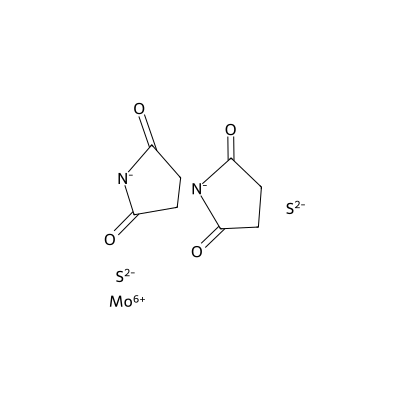 O=C1CCC(=O)[N-]1.O=C1CCC(=O)[N-]1.[Mo+6].[S-2].[S-2]